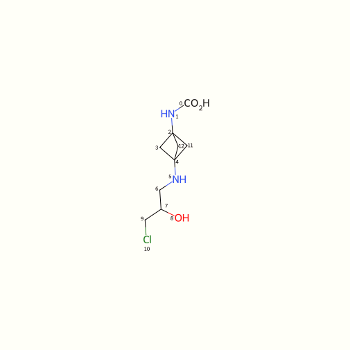 O=C(O)NC12CC(NCC(O)CCl)(C1)C2